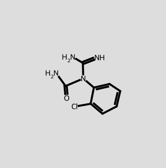 N=C(N)N(C(N)=O)c1ccccc1Cl